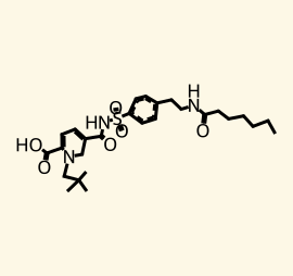 CCCCCCC(=O)NCCc1ccc(S(=O)(=O)NC(=O)C2=CC=C(C(=O)O)N(CC(C)(C)C)C2)cc1